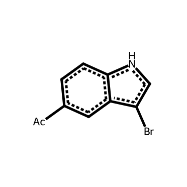 CC(=O)c1ccc2[nH]cc(Br)c2c1